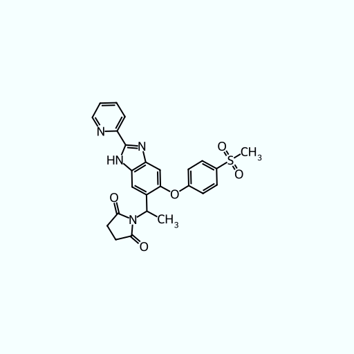 CC(c1cc2[nH]c(-c3ccccn3)nc2cc1Oc1ccc(S(C)(=O)=O)cc1)N1C(=O)CCC1=O